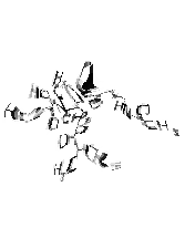 CC(=O)NCCCS(=O)(=O)OC(CCOC(=O)C(C)C)C(C)(C)[C@@H](O)C(=O)O